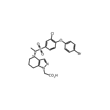 CN([C@@H]1CCCc2c1cnn2CC(=O)O)S(=O)(=O)c1ccc(Oc2ccc(Br)cc2)c(Cl)c1